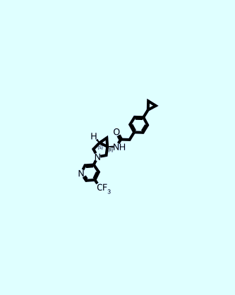 O=C(Cc1ccc(C2CC2)cc1)N[C@]12C[C@H]1CN(c1cncc(C(F)(F)F)c1)C2